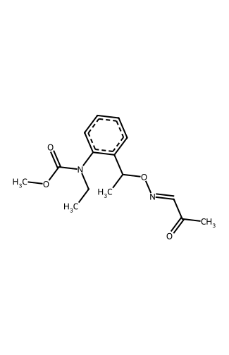 CCN(C(=O)OC)c1ccccc1C(C)ON=CC(C)=O